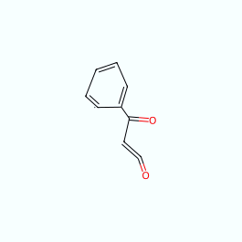 O=C=CC(=O)c1[c]cccc1